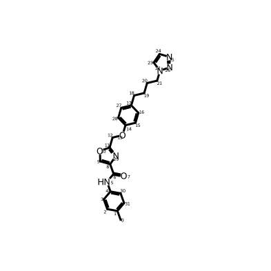 Cc1ccc(NC(=O)c2coc(COc3ccc(CCCCn4ccnn4)cc3)n2)cc1